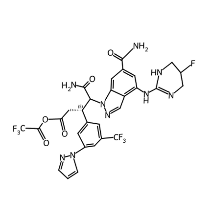 NC(=O)c1cc(NC2=NCC(F)CN2)c2cnn(C(C(N)=O)[C@@H](CC(=O)OC(=O)C(F)(F)F)c3cc(-n4cccn4)cc(C(F)(F)F)c3)c2c1